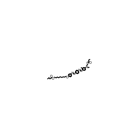 CCCC(=O)OCCCCCCCCCOc1ccc(N=Nc2ccc(N=Nc3ccc(N(CC)CCOC(=O)CC)cc3C)cc2)cc1